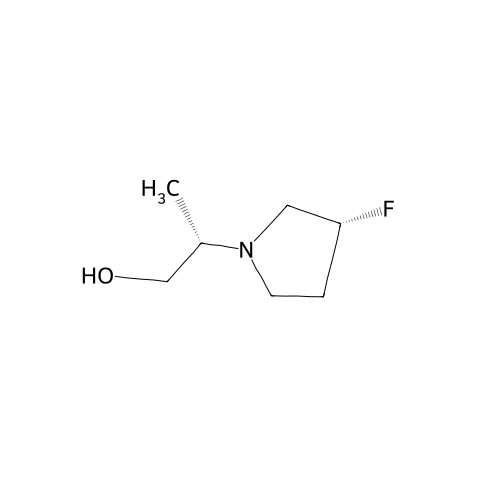 C[C@@H](CO)N1CC[C@@H](F)C1